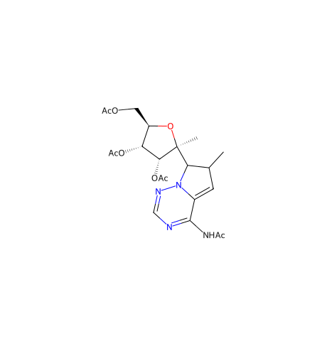 CC(=O)NC1=NC=NN2C1=CC(C)C2[C@]1(C)O[C@H](COC(C)=O)[C@@H](OC(C)=O)[C@H]1OC(C)=O